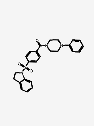 O=C(c1ccc(S(=O)(=O)N2CCc3ccccc32)cc1)N1CCN(c2ccccc2)CC1